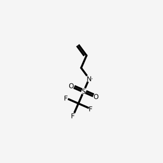 C=CC[N]S(=O)(=O)C(F)(F)F